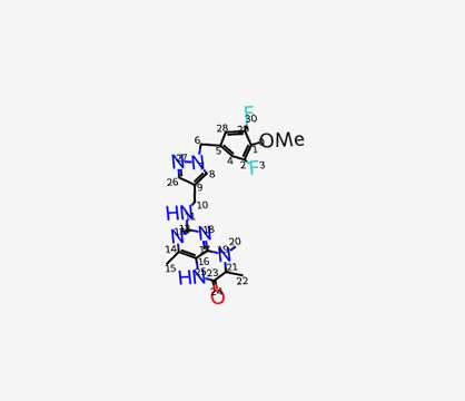 COc1c(F)cc(Cn2cc(CNc3nc(C)c4c(n3)N(C)C(C)C(=O)N4)cn2)cc1F